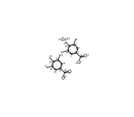 Cc1cc(C(=O)[O-])cc(C)c1C.Cc1cc(C(=O)[O-])cc(C)c1C.[Zn+2]